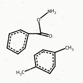 Cc1ccc(C)cc1.NOC(=O)c1ccccc1